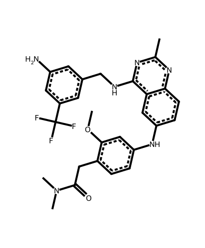 COc1cc(Nc2ccc3nc(C)nc(NCc4cc(N)cc(C(F)(F)F)c4)c3c2)ccc1CC(=O)N(C)C